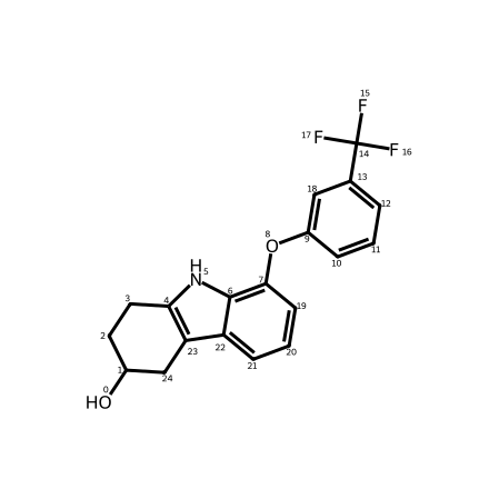 OC1CCc2[nH]c3c(Oc4cccc(C(F)(F)F)c4)cccc3c2C1